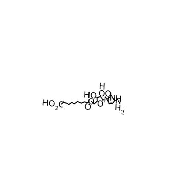 NC1C=CN(C2OC(COC(=O)CCCCCCCC(=O)O)C(O)C2O)C(=O)N1